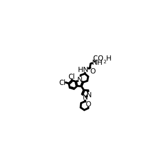 O=C(O)NCC(=O)NC1CCc2c(-c3cnn(C4CCCCO4)c3)c3ccc(Cl)c(Cl)c3n2C1